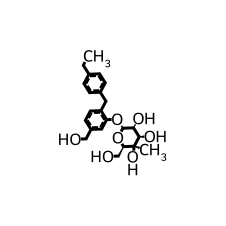 CCc1ccc(Cc2ccc(CO)cc2O[C@H]2O[C@H](CO)[C@@](C)(O)[C@H](O)[C@H]2O)cc1